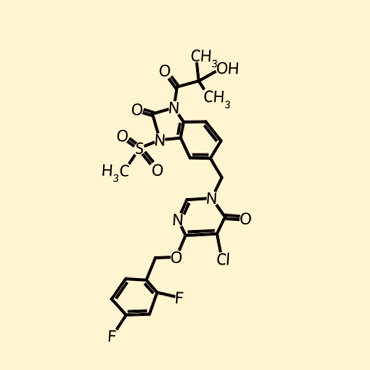 CC(C)(O)C(=O)n1c(=O)n(S(C)(=O)=O)c2cc(Cn3cnc(OCc4ccc(F)cc4F)c(Cl)c3=O)ccc21